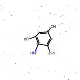 CCCc1cc(C#N)cc(CCC)c1[NH]